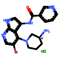 Cl.N[C@H]1CCCN(c2c(Br)cnc3[nH]cc(NC(=O)c4cccnc4)c23)C1